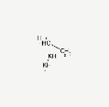 CO.[H+].[KH].[KH]